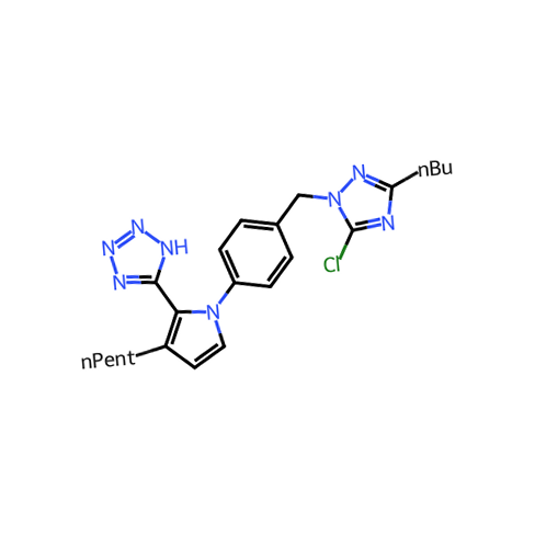 CCCCCc1ccn(-c2ccc(Cn3nc(CCCC)nc3Cl)cc2)c1-c1nnn[nH]1